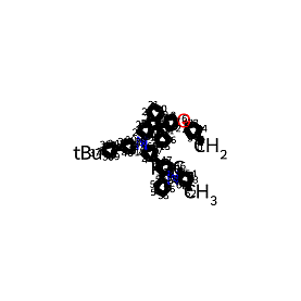 C=Cc1ccc(Oc2ccc(C3(c4ccccc4)c4ccccc4-c4ccc(N(c5ccc(-c6ccc(C(C)(C)C)cc6)cc5)c5ccc(-c6ccc7c(c6)c6ccccc6n7-c6cc(C)ccc6C)cc5)cc43)cc2)cc1